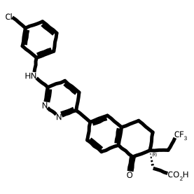 O=C(O)C[C@@]1(CC(F)(F)F)CCc2cc(-c3ccc(Nc4cccc(Cl)c4)nn3)ccc2C1=O